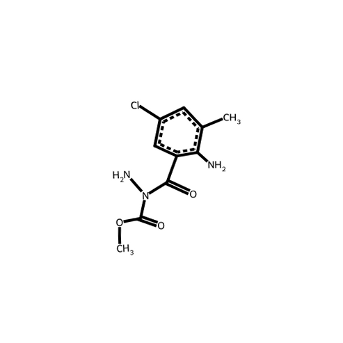 COC(=O)N(N)C(=O)c1cc(Cl)cc(C)c1N